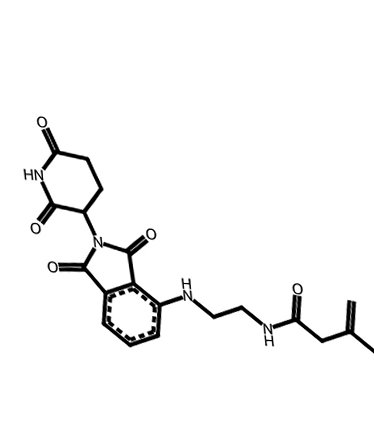 C=C(C)CC(=O)NCCNc1cccc2c1C(=O)N(C1CCC(=O)NC1=O)C2=O